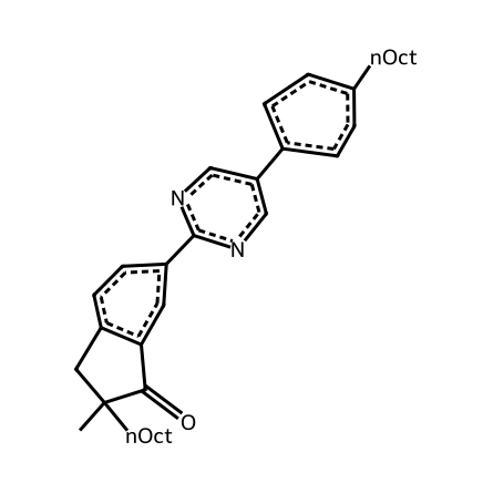 CCCCCCCCc1ccc(-c2cnc(-c3ccc4c(c3)C(=O)C(C)(CCCCCCCC)C4)nc2)cc1